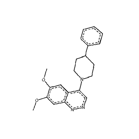 COc1cc2nncc(N3CCC(c4ccccc4)CC3)c2cc1OC